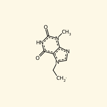 [CH2]Cn1cnc2c1c(=O)[nH]c(=O)n2C